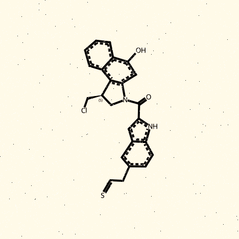 O=C(c1cc2cc(CC=S)ccc2[nH]1)N1C[C@@H](CCl)c2c1cc(O)c1ccccc21